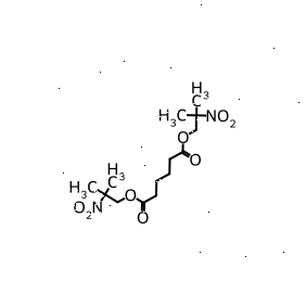 CC(C)(COC(=O)CCCCC(=O)OCC(C)(C)[N+](=O)[O-])[N+](=O)[O-]